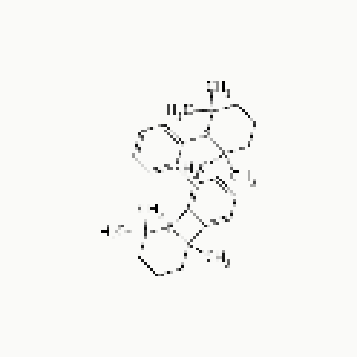 CC1(C)CCCC(C)(C)P1c1ccccc1-c1cccc2c1P1C(C)(C)CCCC21C